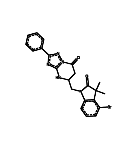 CC1(C)C(=O)N(CC2CC(=O)n3nc(-c4ccccc4)nc3N2)c2cccc(Br)c21